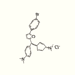 CN(C)c1ccc(C(=C2C=CC(=[N+](C)C)C=C2)c2ccc(-c3ccc(Br)cc3)o2)cc1.[Cl-]